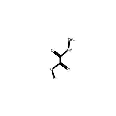 CCOC(=O)C(=O)NOC(C)=O